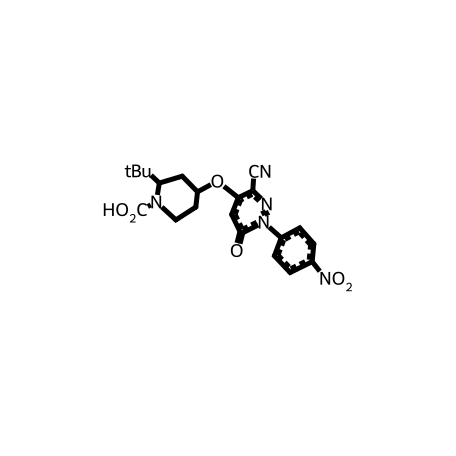 CC(C)(C)C1CC(Oc2cc(=O)n(-c3ccc([N+](=O)[O-])cc3)nc2C#N)CCN1C(=O)O